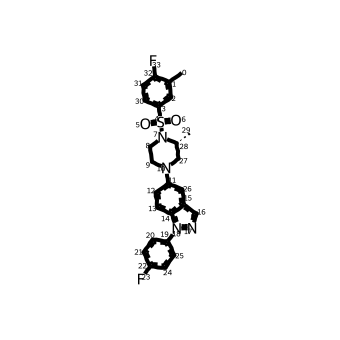 Cc1cc(S(=O)(=O)N2CCN(c3ccc4c(cnn4-c4ccc(F)cc4)c3)C[C@H]2C)ccc1F